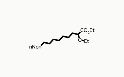 CCCCCCCCCCCCCCCCC(OCC)C(=O)OCC